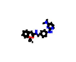 CN(C)c1ccnc(N[C@H]2CC[C@@H](CNC(=O)Cc3ccccc3OC(F)(F)F)CC2)n1